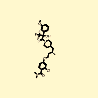 COc1cccc(C(O)(C(=O)N2CCC(C[C@@H](C)CCOc3ccc(C(=O)N(C)C)c(Cl)c3)CC2)C(F)(F)F)c1